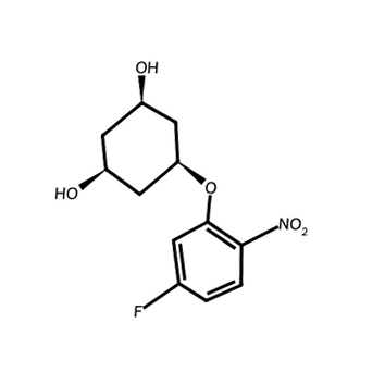 O=[N+]([O-])c1ccc(F)cc1O[C@@H]1C[C@H](O)C[C@H](O)C1